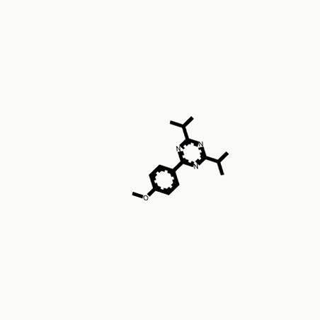 COc1ccc(-c2nc(C(C)C)nc(C(C)C)n2)cc1